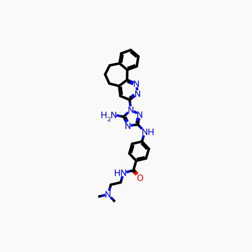 CN(C)CCNC(=O)c1ccc(Nc2nc(N)n(-c3cc4c(nn3)-c3ccccc3CCC4)n2)cc1